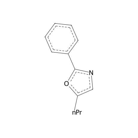 CCCc1cnc(-c2ccccc2)o1